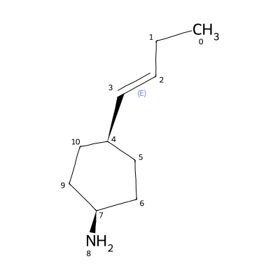 CC/C=C/[C@H]1CC[C@@H](N)CC1